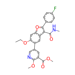 CCOc1cc2oc(-c3ccc(F)cc3)c(C(=O)NC)c2cc1-c1cnc(OC)c(C(=O)OC)c1